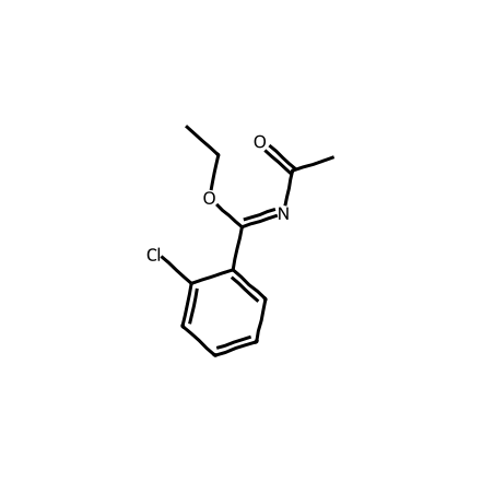 CCOC(=NC(C)=O)c1ccccc1Cl